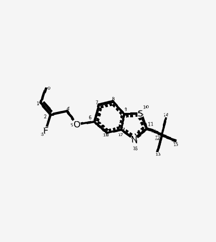 C/C=C(/F)COc1ccc2sc(C(C)(C)C)nc2c1